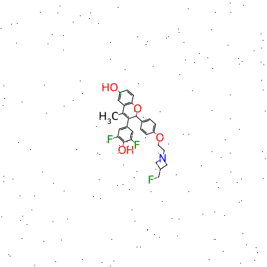 CC1=C(c2cc(F)c(O)c(F)c2)C(c2ccc(OCCN3CC(CF)C3)cc2)Oc2ccc(O)cc21